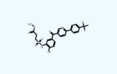 COC(=O)CCS(=O)(=O)Nc1cc(C(=O)c2ccc(-c3ccc(C(F)(F)F)cc3)nc2)ccc1O